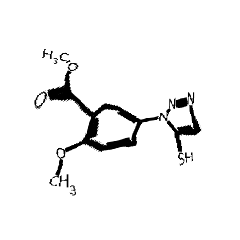 COC(=O)c1cc(-n2nncc2S)ccc1OC